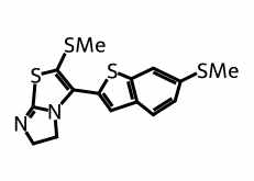 CSC1=C(c2cc3ccc(SC)cc3s2)N2CCN=C2S1